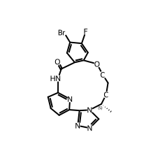 C[C@H]1CCCOc2cc(F)c(Br)cc2C(=O)Nc2cccc(n2)-c2nncn21